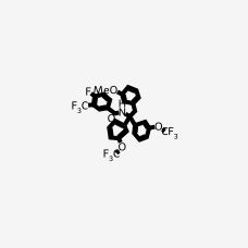 COc1cccc(CC(NC(=O)c2ccc(F)c(C(F)(F)F)c2)(c2cccc(OC(F)(F)F)c2)c2cccc(OC(F)(F)F)c2)c1